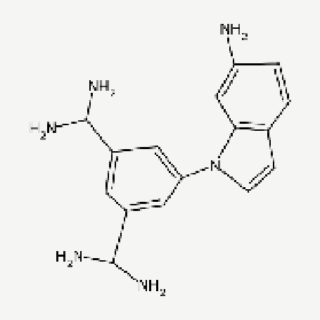 Nc1ccc2ccn(-c3cc(C(N)N)cc(C(N)N)c3)c2c1